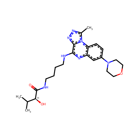 Cc1nnc2c(NCCCCNC(=O)[C@@H](O)C(C)C)nc3cc(N4CCOCC4)ccc3n12